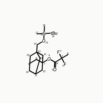 CC(F)(F)C(=O)OC12CC3CC(CC(CO[Si](C)(C)C(C)(C)C)(C3)C1)C2